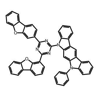 c1ccc(-n2c3ccccc3c3cc4c5ccccc5n(-c5nc(-c6ccc7c(c6)oc6ccccc67)nc(-c6cccc7c6oc6ccccc67)n5)c4cc32)cc1